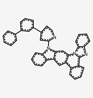 c1ccc(-c2cccc(-c3ccnc(-n4c5ccccc5c5cc6c7ccccc7c7nc8ccccc8n7c6cc54)c3)c2)cc1